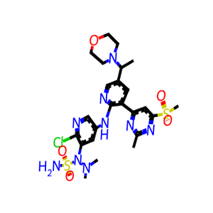 Cc1nc(-c2cc(C(C)N3CCOCC3)cnc2Nc2cnc(Cl)c(N(N(C)C)S(N)(=O)=O)c2)cc(S(C)(=O)=O)n1